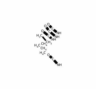 C.C.C.C.CC.N=C=O.N=C=O.N=C=O.N=C=O